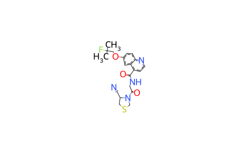 CC(C)(F)COc1ccc2nccc(C(=O)NCC(=O)N3CSCC3C#N)c2c1